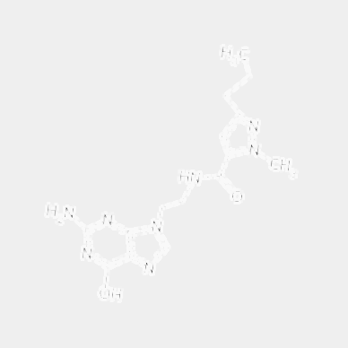 CCCc1cc(C(=O)NCCn2cnc3c(O)nc(N)nc32)n(C)n1